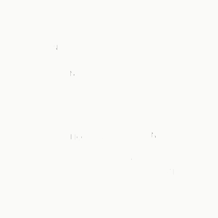 CC(O)(c1cccc(-n2ccnc2)c1)c1cnc(Cl)s1